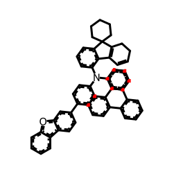 C1=CC2=C(CC1)C1(CCCCC1)c1cccc(N(c3ccc(-c4ccc5c(c4)oc4ccccc45)cc3)c3ccccc3-c3ccccc3-c3ccccc3-c3ccccc3)c12